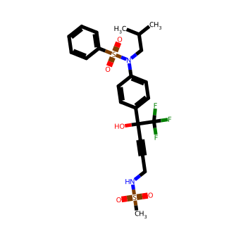 CC(C)CN(c1ccc(C(O)(C#CCNS(C)(=O)=O)C(F)(F)F)cc1)S(=O)(=O)c1ccccc1